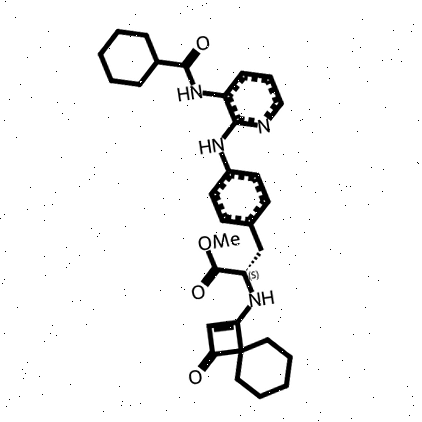 COC(=O)[C@H](Cc1ccc(Nc2ncccc2NC(=O)C2CCCCC2)cc1)NC1=CC(=O)C12CCCCC2